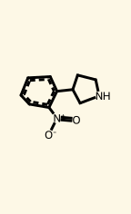 O=[N+]([O-])c1ccccc1C1CCNC1